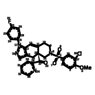 COc1ccc(S(=O)(=O)N2CCC3=Cc4c(cnn4-c4ccc(F)cc4)C[C@]3(C(=O)c3ccccn3)C2)cc1Cl